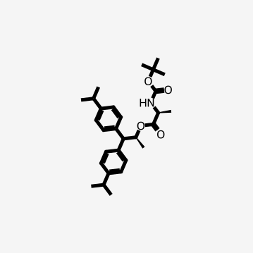 CC(C)c1ccc(C(c2ccc(C(C)C)cc2)[C@H](C)OC(=O)[C@H](C)NC(=O)OC(C)(C)C)cc1